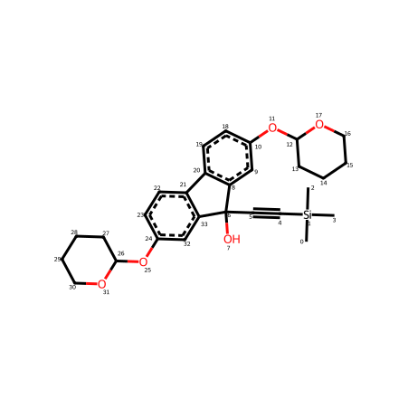 C[Si](C)(C)C#CC1(O)c2cc(OC3CCCCO3)ccc2-c2ccc(OC3CCCCO3)cc21